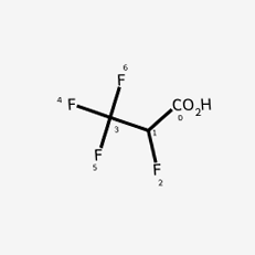 O=C(O)C(F)C(F)(F)F